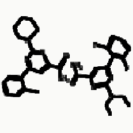 CCN(CC)c1nc(C(N)=O)cc(-c2c(F)cccc2F)n1.Cc1ccccc1-c1cc(C(N)=O)nc(N2CCCCC2)n1